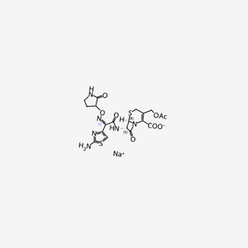 CC(=O)OCC1=C(C(=O)[O-])N2C(=O)[C@H](NC(=O)/C(=N\OC3CCNC3=O)c3csc(N)n3)[C@H]2SC1.[Na+]